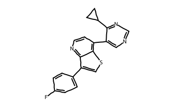 Fc1ccc(-c2csc3c(-c4cncnc4C4CC4)ccnc23)cc1